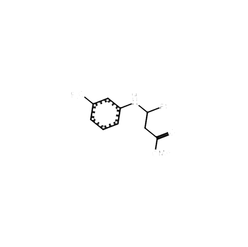 CCC(CC(=O)OC)Nc1cccc(C(F)(F)F)c1